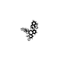 Cn1c2c(ccc1=O)-c1cccc(-n3ncc4cccc(F)c4c3=O)c1C[C@@H](O[Si](C)(C)C(C)(C)C)C2